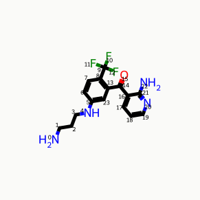 NCCCNc1ccc(C(F)(F)F)c(C(=O)c2cccnc2N)c1